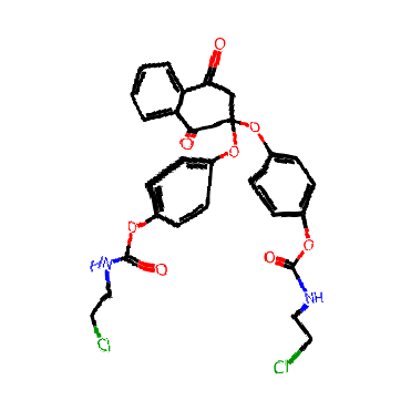 O=C(NCCCl)Oc1ccc(OC2(Oc3ccc(OC(=O)NCCCl)cc3)CC(=O)c3ccccc3C2=O)cc1